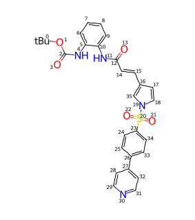 CC(C)(C)OC(=O)Nc1ccccc1NC(=O)C=Cc1ccn(S(=O)(=O)c2ccc(-c3ccncc3)cc2)c1